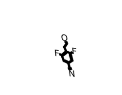 N#Cc1cc(F)c(CC=O)c(F)c1